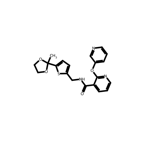 CC1(c2ccc(CNC(=O)c3cccnc3Oc3cccnc3)s2)OCCO1